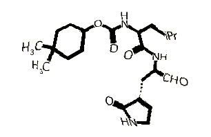 CC(C)CC(NC(=O)OC1CCC(C)(C)CC1)C(=O)NC(C=O)C[C@@H]1CCNC1=O